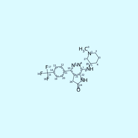 CN1CCC[C@@H](Nc2nnc(-c3ccc(C(F)(F)F)cc3)c3c2NC(=O)C3)C1